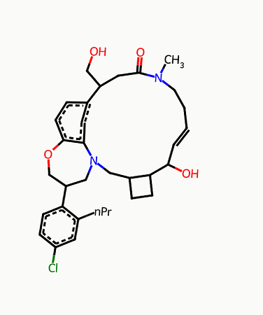 CCCc1cc(Cl)ccc1C1COc2ccc3cc2N(C1)CC1CCC1C(O)/C=C/CCN(C)C(=O)CC3CO